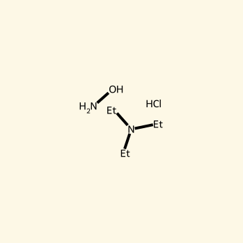 CCN(CC)CC.Cl.NO